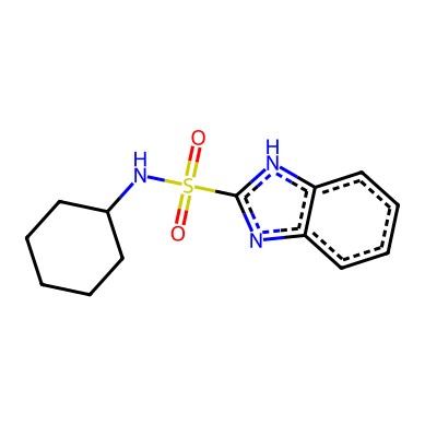 O=S(=O)(NC1CCCCC1)c1nc2ccccc2[nH]1